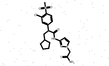 CS(=O)(=O)c1ccc(C(CC2CCCC2)C(=O)Nc2ccn(CC(N)=O)n2)cc1Cl